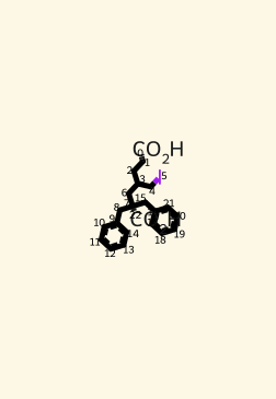 O=C(O)CCC(CI)CC(Cc1ccccc1)(Cc1ccccc1)C(=O)O